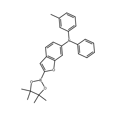 Cc1cccc(N(c2ccccc2)c2ccc3cc(B4OC(C)(C)C(C)(C)O4)oc3c2)c1